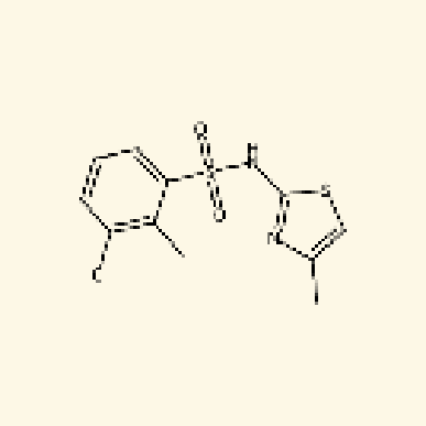 Cc1csc(NS(=O)(=O)c2cccc(Cl)c2C)n1